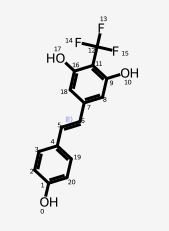 Oc1ccc(/C=C/c2cc(O)c(C(F)(F)F)c(O)c2)cc1